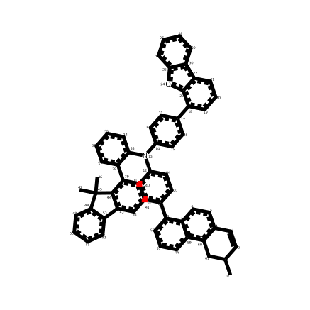 CC1C=Cc2ccc3c(-c4ccc(N(c5ccc(-c6cccc7c6oc6ccccc67)cc5)c5ccccc5-c5cccc6c5C(C)(C)c5ccccc5-6)cc4)cccc3c2C1